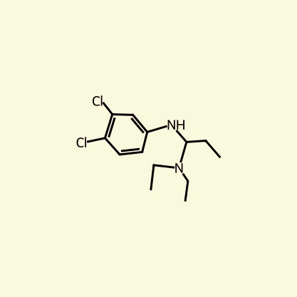 CCC(Nc1ccc(Cl)c(Cl)c1)N(CC)CC